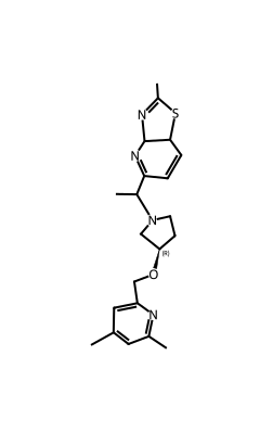 CC1=NC2N=C(C(C)N3CC[C@@H](OCc4cc(C)cc(C)n4)C3)C=CC2S1